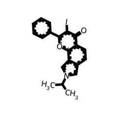 CC(C)n1cc2ccc3c(=O)c(I)c(-c4ccccc4)oc3c2c1